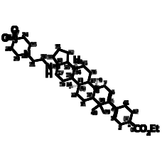 CCOC(=O)[C@H]1CC=C(C2=CC[C@@]3(C)C(CC[C@@]4(C)C5CC[C@@]6(NCCN7CCS(=O)(=O)CC7)CCCC6[C@H]5CCC43)C2(C)C)CC1